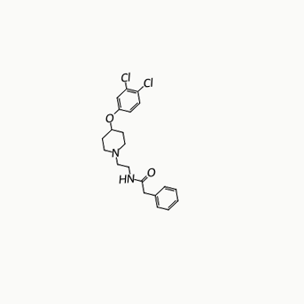 O=C(Cc1ccccc1)NCCN1CCC(Oc2ccc(Cl)c(Cl)c2)CC1